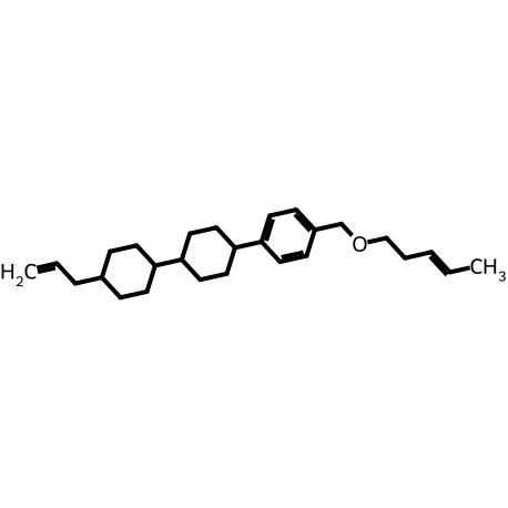 C=CCC1CCC(C2CCC(c3ccc(COCCC=CC)cc3)CC2)CC1